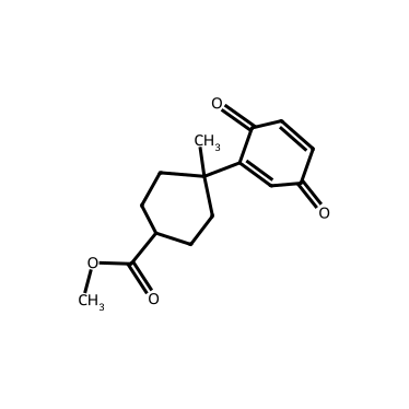 COC(=O)C1CCC(C)(C2=CC(=O)C=CC2=O)CC1